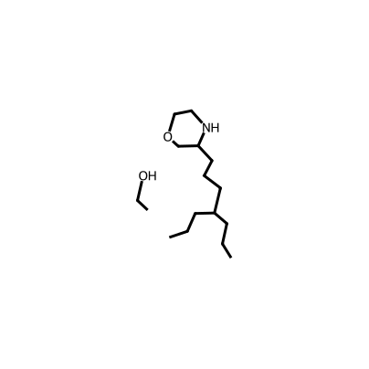 CCCC(CCC)CCCC1COCCN1.CCO